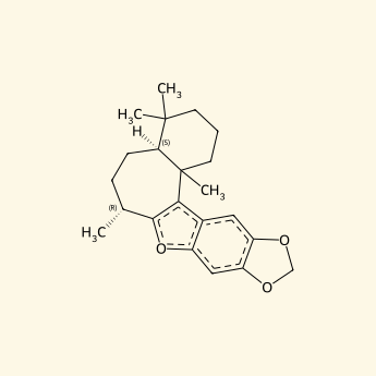 C[C@@H]1CC[C@H]2C(C)(C)CCCC2(C)c2c1oc1cc3c(cc21)OCO3